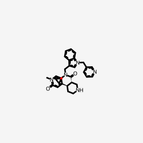 Cn1ccc([C@@H]2CCNC[C@H]2C(=O)N(Cc2cn(Cc3cccnc3)c3ccccc23)C2CC2)cc1=O